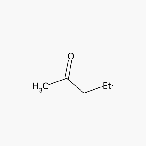 C[CH]CC(C)=O